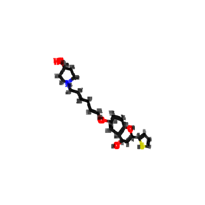 O=c1cc(-c2cccs2)oc2ccc(OCCCCCCN3CCC(O)CC3)cc12